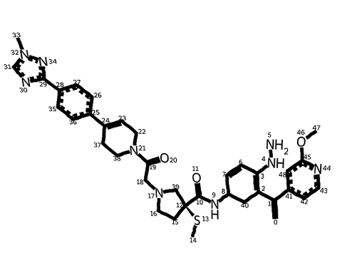 C=C(C1=C(NN)C=CC(NC(=O)[C@]2(SC)CCN(CC(=O)N3CC=C(c4ccc(-c5ncn(C)n5)cc4)CC3)C2)C1)c1ccnc(OC)c1